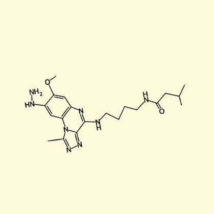 COc1cc2nc(NCCCCNC(=O)CC(C)C)c3nnc(C)n3c2cc1NN